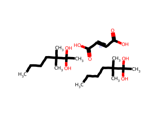 CCCCC(C)(C)C(C)(O)O.CCCCC(C)(C)C(C)(O)O.O=C(O)/C=C/C(=O)O